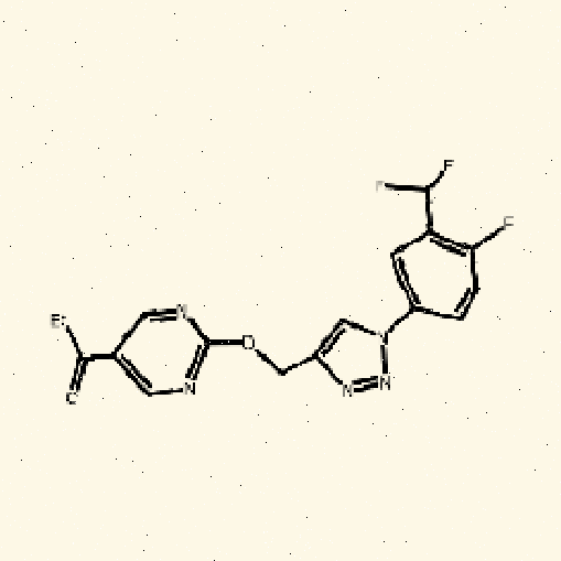 CCC(=O)c1cnc(OCc2cn(-c3ccc(F)c(C(F)F)c3)nn2)nc1